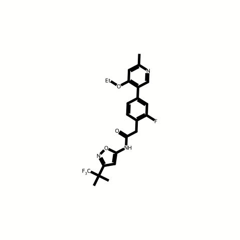 CCOc1cc(C)ncc1-c1ccc(CC(=O)Nc2cc(C(C)(C)C(F)(F)F)no2)c(F)c1